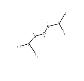 IC(I)SOSC(I)I